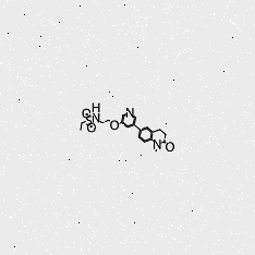 CCS(=O)(=O)NCCOc1cncc(-c2ccc3c(c2)CCC(=O)N3C)c1